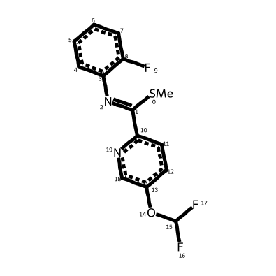 CSC(=Nc1ccccc1F)c1ccc(OC(F)F)cn1